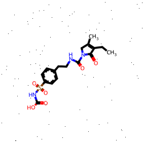 CCC1=C(C)CN(C(=O)NCCc2ccc(S(=O)(=O)NC(=O)O)cc2)C1=O